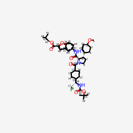 COC1CCC([C@@H]2CCN(C(=O)C3CCC([C@@H](CF)NC(=O)OC(C)(C)C)CC3)[C@H]2C(=O)Nc2ccc3oc(C(=O)OCC(C)C)cc3c2)CC1